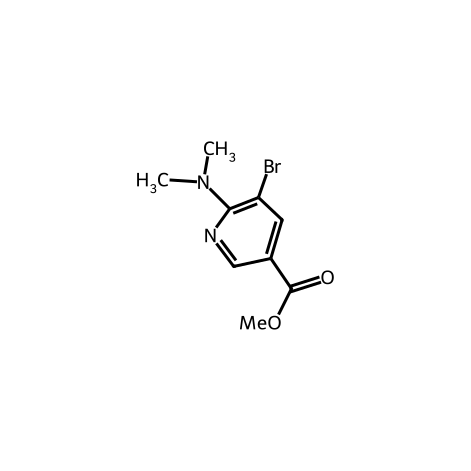 COC(=O)c1cnc(N(C)C)c(Br)c1